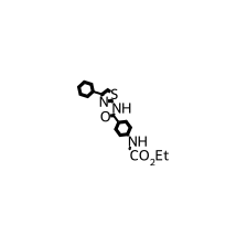 CCOC(=O)CNc1ccc(C(=O)Nc2nc(-c3ccccc3)cs2)cc1